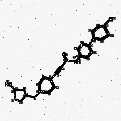 O=C(C#Cc1ccc(CN2CC[C@@H](O)C2)cc1)Nc1ccc(-c2ccc(Cl)cc2)cc1